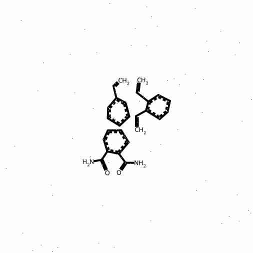 C=Cc1ccccc1.C=Cc1ccccc1C=C.NC(=O)c1ccccc1C(N)=O